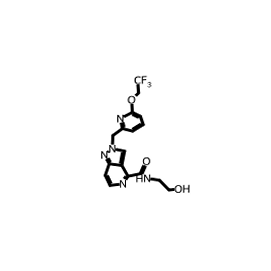 O=C(NCCO)c1nccc2nn(Cc3cccc(OCC(F)(F)F)n3)cc12